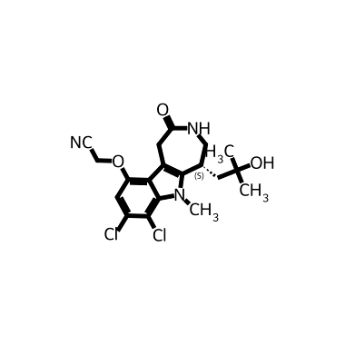 Cn1c2c(c3c(OCC#N)cc(Cl)c(Cl)c31)CC(=O)NC[C@@H]2CC(C)(C)O